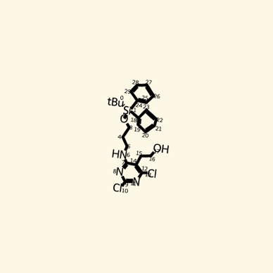 CC(C)(C)[Si](OCCCNc1nc(Cl)nc(Cl)c1CCO)(c1ccccc1)c1ccccc1